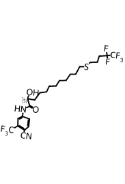 C[C@](O)(CCCCCCCCCCSCCCC(F)(F)C(F)(F)F)C(=O)Nc1ccc(C#N)c(C(F)(F)F)c1